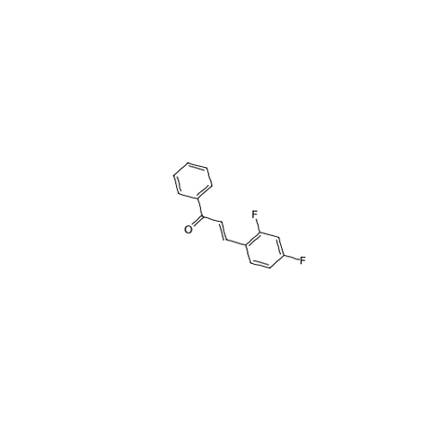 O=C(C=Cc1ccc(F)cc1F)c1ccccc1